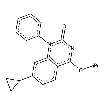 CC(C)Oc1nc(=O)n(-c2ccccc2)c2cc(C3CC3)ccc12